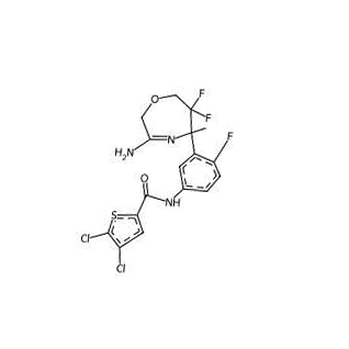 CC1(c2cc(NC(=O)c3cc(Cl)c(Cl)s3)ccc2F)N=C(N)COCC1(F)F